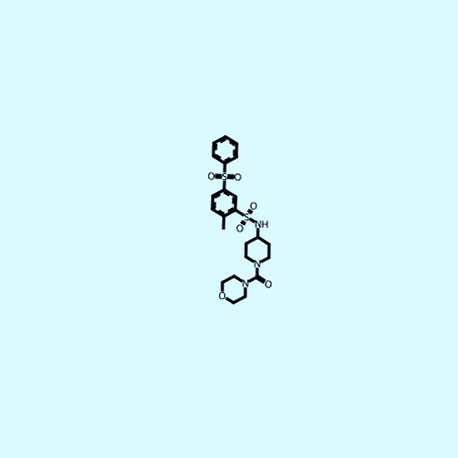 Cc1ccc(S(=O)(=O)c2ccccc2)cc1S(=O)(=O)NC1CCN(C(=O)N2CCOCC2)CC1